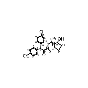 CC(C)C(CN(C)C(=O)C(c1ccc(Cl)cc1)c1ccc(Cl)cc1)N1CCCC1O